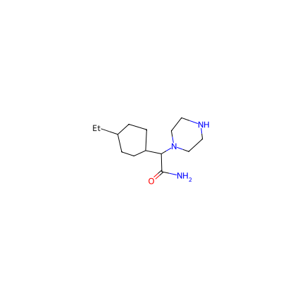 CCC1CCC(C(C(N)=O)N2CCNCC2)CC1